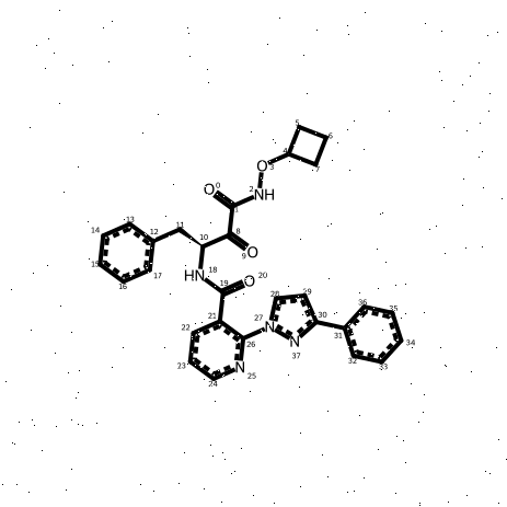 O=C(NOC1CCC1)C(=O)[C@H](Cc1ccccc1)NC(=O)c1cccnc1-n1ccc(-c2ccccc2)n1